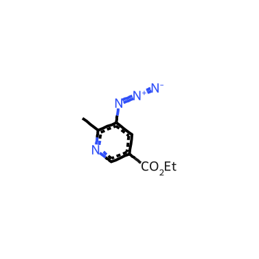 CCOC(=O)c1cnc(C)c(N=[N+]=[N-])c1